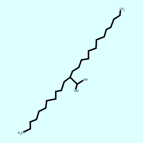 CCCCCCCCCCCCCC(CCCCCCCCCCC)C(O)O